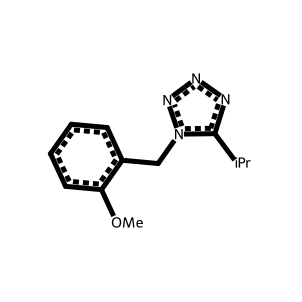 COc1ccccc1Cn1nnnc1C(C)C